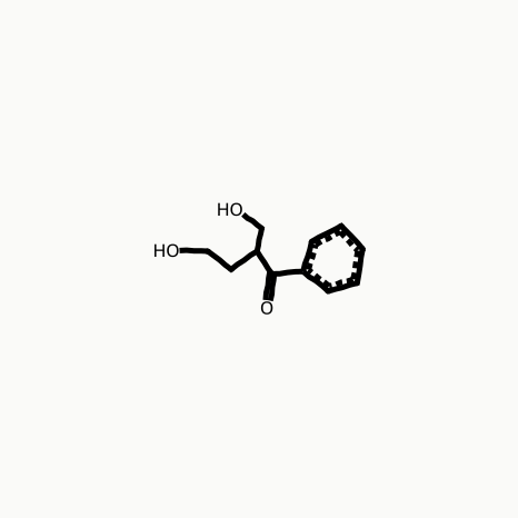 O=C(c1ccccc1)C(CO)CCO